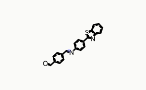 O=Cc1ccc(/C=N/c2ccc(-c3nc4ccccc4s3)cc2)cc1